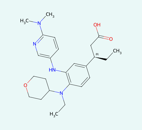 CC[C@H](CC(=O)O)c1ccc(N(CC)C2CCOCC2)c(Nc2ccc(N(C)C)nc2)c1